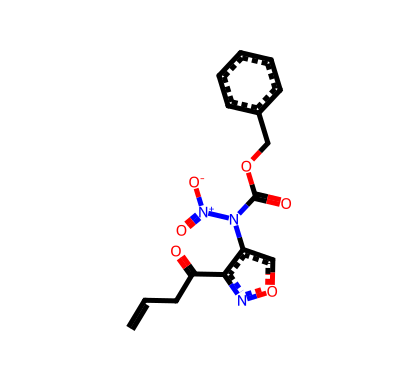 C=CCC(=O)c1nocc1N(C(=O)OCc1ccccc1)[N+](=O)[O-]